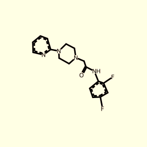 O=C(CN1CCN(c2ccccn2)CC1)Nc1ccc(F)cc1F